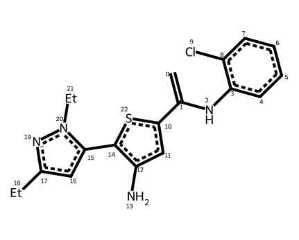 C=C(Nc1ccccc1Cl)c1cc(N)c(-c2cc(CC)nn2CC)s1